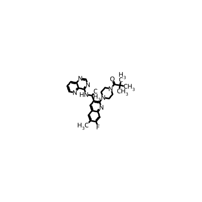 Cc1cc2cc(C(C)Nc3ncnc4cccnc34)c(N3CCN(C(=O)C(C)(C)C)CC3)nc2cc1F